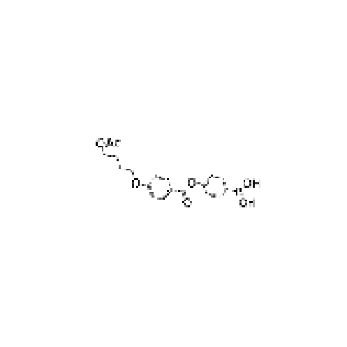 CC(=O)OCCCCOc1ccc(C(=O)Oc2ccc(B(O)O)cc2)cc1